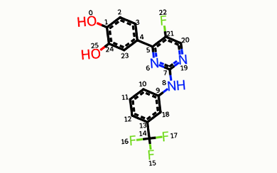 Oc1ccc(-c2nc(Nc3cccc(C(F)(F)F)c3)ncc2F)cc1O